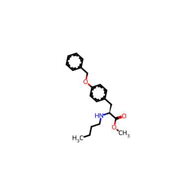 CCCCN[C@@H](Cc1ccc(OCc2ccccc2)cc1)C(=O)OC